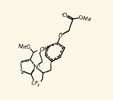 COC(=O)COc1ccc(CC(C)[N+]2(CCO)C(C(C)OC)=CSC2C(F)(F)F)cc1